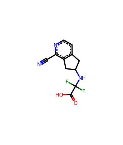 N#Cc1nccc2c1CC(NC(F)(F)C(=O)O)C2